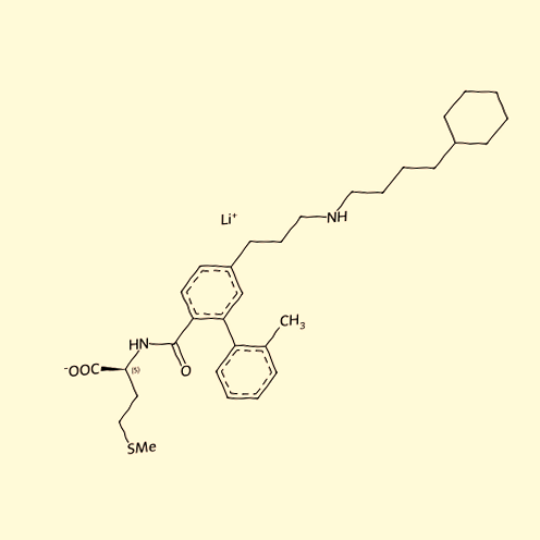 CSCC[C@H](NC(=O)c1ccc(CCCNCCCCC2CCCCC2)cc1-c1ccccc1C)C(=O)[O-].[Li+]